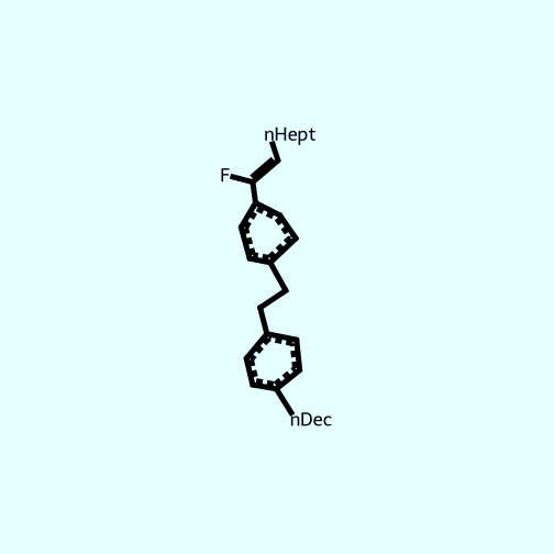 CCCCCCCC=C(F)c1ccc(CCc2ccc(CCCCCCCCCC)cc2)cc1